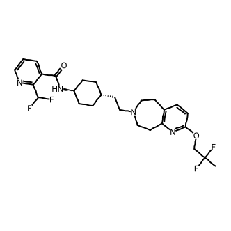 CC(F)(F)COc1ccc2c(n1)CCN(CC[C@H]1CC[C@H](NC(=O)c3cccnc3C(F)F)CC1)CC2